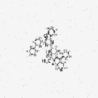 CC1(C)c2cc(-c3nc(-c4cccc(-c5ccccc5)c4)c4oc5ccccc5c4n3)ccc2-c2c1cc1ccccc1c2-c1ccccc1